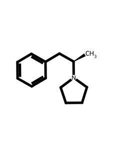 C[C@H](Cc1ccccc1)N1CCCC1